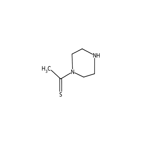 CC(=S)N1CCNCC1